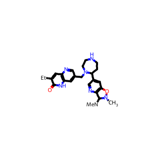 CCc1cc2ncc(CN3CCNCCC3c3cnc4c(c3)ON(C)C4NC)cc2[nH]c1=O